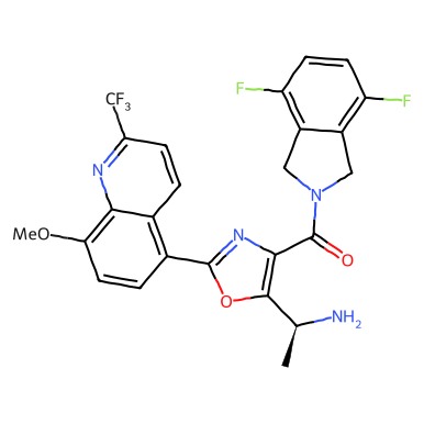 COc1ccc(-c2nc(C(=O)N3Cc4c(F)ccc(F)c4C3)c([C@H](C)N)o2)c2ccc(C(F)(F)F)nc12